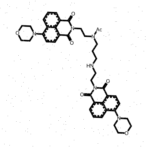 CC(=O)N(CCCNCCN1C(=O)c2cccc3c(N4CCOCC4)ccc(c23)C1=O)CCN1C(=O)c2cccc3c(N4CCOCC4)ccc(c23)C1=O